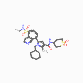 Cc1c(C(=O)NC2CCS(=O)(=O)CC2)cc(-c2ccc(S(=O)(=O)NC(C)(C)C)c3ccncc23)n1CC1CCCCC1